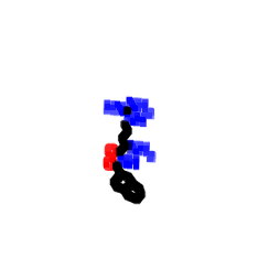 N=C(N)NCCC[C@H](N)C(=O)NC(=O)c1ccc2ccccc2c1